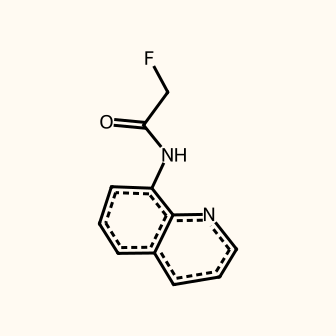 O=C(CF)Nc1cccc2cccnc12